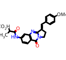 COc1ccc(C=C2CCn3c2nc2cc(NC(=O)C(C)C(=O)O)ccc2c3=O)cc1